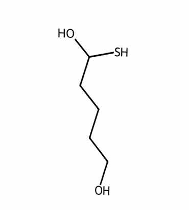 OCCCCC(O)S